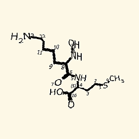 CSCC[C@H](NC(=O)C(CCCCN)NO)C(=O)O